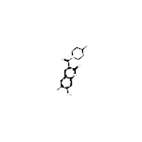 CC1CCN(C(=O)c2cc3cc(Cl)c(O)cc3oc2=O)CC1